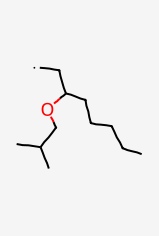 [CH2]CC(CCCCC)OCC(C)C